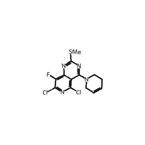 CSc1nc(N2CC=CCC2)c2c(Cl)nc(Cl)c(F)c2n1